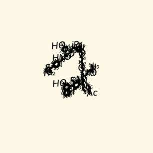 CC(=O)N1CCN(c2nc(N(CCOCCCCOc3cc([C@@H](C(=O)N4C[C@H](O)C[C@H]4C(=O)NCc4ccc(-c5scnc5C)cc4)C(C)C)on3)CCC(=O)N(C)C)nc3c(F)c(-c4cc(O)cc5ccccc45)c(Cl)cc23)CC1